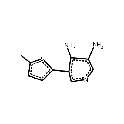 Cc1ccc(-c2cncc(N)c2N)s1